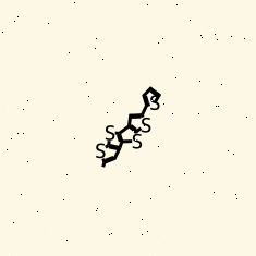 Cc1cc2c(s1)sc1c3cc(-c4cccs4)sc3sc21